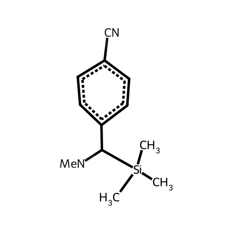 CNC(c1ccc(C#N)cc1)[Si](C)(C)C